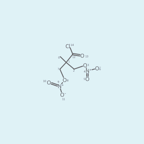 CC(CO[N+](=O)[O-])(CO[N+](=O)[O-])C(=O)Cl